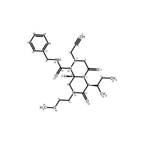 C#CCN1CC(=O)N2[C@@H](C(C)CC)C(=O)N(CCOC)C[C@@H]2N1C(=O)NCc1ccccc1